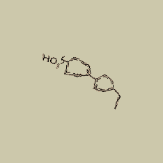 C=Cc1ccc(-c2ccc(S(=O)(=O)O)cc2)cc1